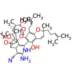 COC(=O)/C(C)=C\CC1(O)C(=O)C2CC(C(C)C)C13Oc1c(CC=C(C)C)c4c(c(O)c1C1=C3C2C(C#N)=C(N)N1)C=CC(C)(CCC=C(C)C)O4